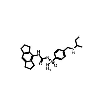 CCC(C)NCc1ccc([S@](N)(=O)=NC(=O)Nc2c3c(cc4c2CCC4)CCC3)cc1